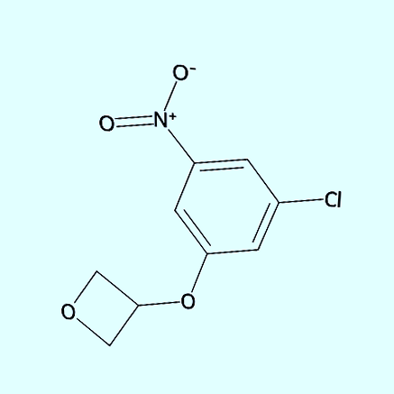 O=[N+]([O-])c1cc(Cl)cc(OC2COC2)c1